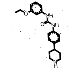 CCOc1cccc(NC(=O)Nc2ccc(C3CCNCC3)cc2)c1